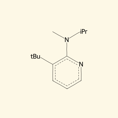 CC(C)N(C)c1ncccc1C(C)(C)C